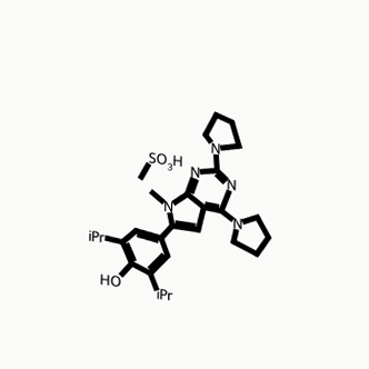 CC(C)c1cc(-c2cc3c(N4CCCC4)nc(N4CCCC4)nc3n2C)cc(C(C)C)c1O.CS(=O)(=O)O